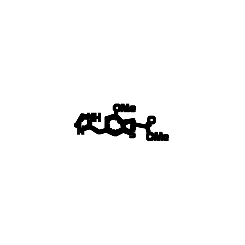 COC(=O)c1cc2c(OC)cc(Cc3ncc[nH]3)cc2s1